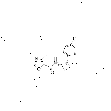 Cc1ncoc1C(=O)N[C@H]1CC[C@H]1c1ccc(Cl)cc1